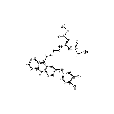 CC(C)(C)OC(=O)/N=C(\NCCNCc1c2ccccc2nc2ccc(Nc3ccc(Cl)c(Cl)c3)cc12)NC(=O)OC(C)(C)C